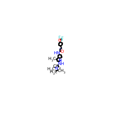 Cc1cc(NCCN(C(C)C)C(C)C)nc2ccc(NC(=O)/C=C/c3ccc(OC(F)(F)F)cc3)cc12